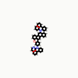 c1ccc(-c2ccccc2N(c2ccc3c(c2)Oc2cccc4c2c-3cc2c3ccccc3c(N(c3ccccc3)c3ccccc3-c3ccccc3)cc42)c2ccccn2)cc1